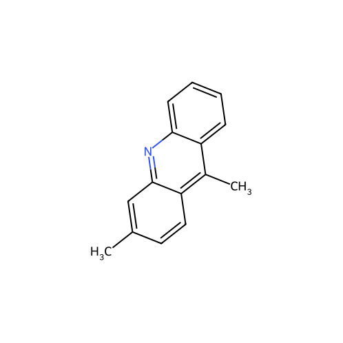 Cc1ccc2c(C)c3ccccc3nc2c1